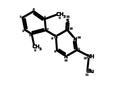 Cc1cccc(C)c1-n1cnc(NC(C)(C)C)nc1=S